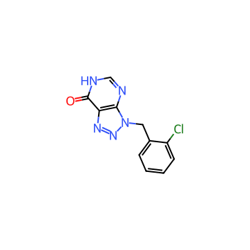 O=c1[nH]cnc2c1nnn2Cc1ccccc1Cl